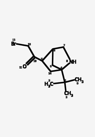 CC(C)(C)C12CC(CN1)C(C(=O)CBr)C2